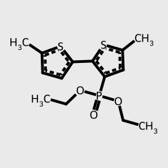 CCOP(=O)(OCC)c1cc(C)sc1-c1ccc(C)s1